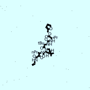 C=CCNC(=O)C(=O)C(CCC)NC(=O)[C@@H]1[C@@H]2[C@H](CN1C(=O)[C@@H](NC(=O)N[C@H](C(=O)OCc1ccco1)C(C)C)C(C)(C)C)C2(C)C